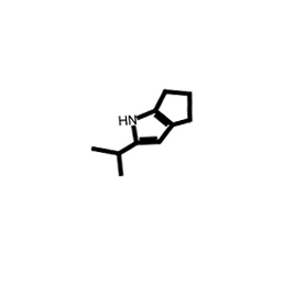 CC(C)c1cc2c([nH]1)CCC2